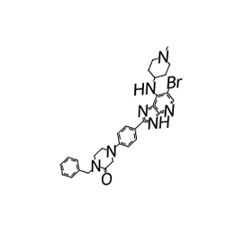 CN1CCC(Nc2c(Br)cnc3[nH]c(-c4ccc(N5CCN(Cc6ccccc6)C(=O)C5)cc4)nc23)CC1